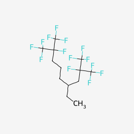 CCC(CCCC(F)(C(F)(F)F)C(F)(F)F)CC(F)(C(F)(F)F)C(F)(F)F